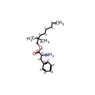 CCCCCCC(C)(C)COC(=O)C(N)Cc1ccccc1